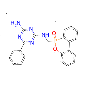 Nc1nc(NCP2(=O)Oc3ccccc3-c3ccccc32)nc(-c2ccccc2)n1